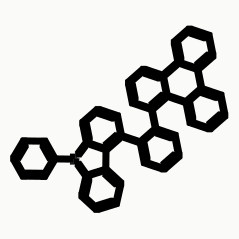 c1ccc(-n2c3ccccc3c3c(-c4ccccc4-c4cccc5c6ccccc6c6ccccc6c45)cccc32)cc1